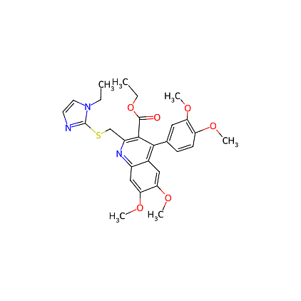 CCOC(=O)c1c(CSc2nccn2CC)nc2cc(OC)c(OC)cc2c1-c1ccc(OC)c(OC)c1